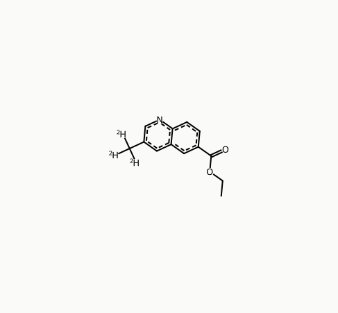 [2H]C([2H])([2H])c1cnc2ccc(C(=O)OCC)cc2c1